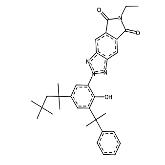 CCN1C(=O)c2cc3nn(-c4cc(C(C)(C)CC(C)(C)C)cc(C(C)(C)c5ccccc5)c4O)nc3cc2C1=O